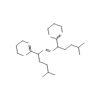 CC(C)CCC(N=NC(CCC(C)C)C1=NCCCN1)C1=NCCCN1